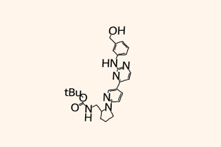 CC(C)(C)OC(=O)NCC1CCCN1c1ccc(-c2ccnc(Nc3cccc(CO)c3)n2)cn1